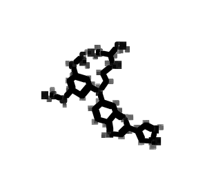 COc1cc(OC)cc(N(CCNC(C)C)c2ccc3ncc(-c4cn[nH]c4)nc3c2)c1